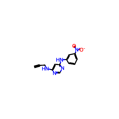 C#CCNc1cc(Nc2cccc([N+](=O)[O-])c2)ncn1